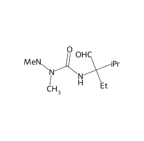 CCC(C=O)(NC(=O)N(C)NC)C(C)C